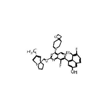 CCc1c(F)ccc2cc(O)cc(-c3ncc4c(N5CCC6(CCO6)CC5)nc(OC[C@@]56CCCN5C[C@H](C)C6)nc4c3F)c12